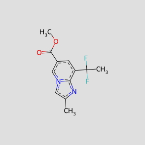 COC(=O)c1cc(C(C)(F)F)c2nc(C)cn2c1